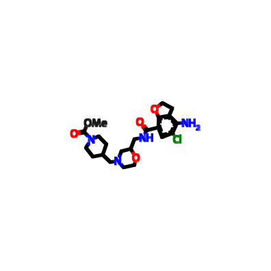 COC(=O)N1CCC(CN2CCOC(CNC(=O)c3cc(Cl)c(N)c4c3OCC4)C2)CC1